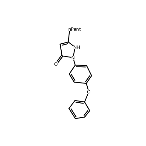 CCCCCc1cc(=O)n(-c2ccc(Oc3ccccc3)cc2)[nH]1